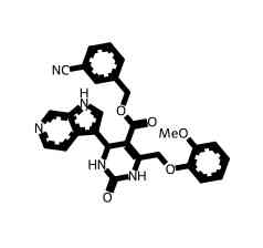 COc1ccccc1OCC1=C(C(=O)OCc2cccc(C#N)c2)C(c2c[nH]c3cnccc23)NC(=O)N1